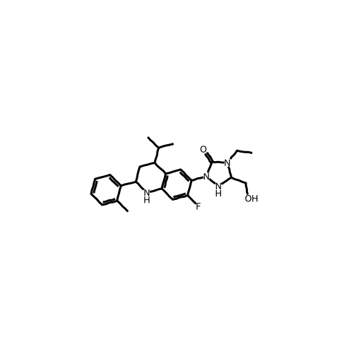 CCN1C(=O)N(c2cc3c(cc2F)NC(c2ccccc2C)CC3C(C)C)NC1CO